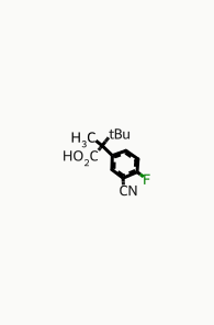 CC(C)(C)C(C)(C(=O)O)c1ccc(F)c(C#N)c1